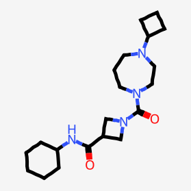 O=C(NC1CCCCC1)C1CN(C(=O)N2CCCN(C3CCC3)CC2)C1